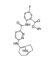 CC(C)OC(=O)c1cc(F)ccc1NC(=O)c1ccc(NC2=C3CCC(=CCC2)N3)nn1